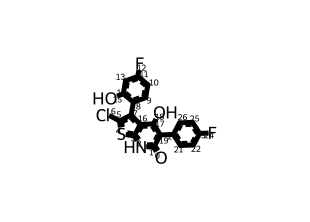 O=c1[nH]c2sc(Cl)c(-c3ccc(F)cc3O)c2c(O)c1-c1ccc(F)cc1